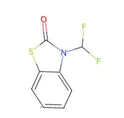 O=c1sc2c[c]ccc2n1C(F)F